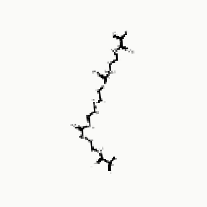 C=C(C)C(=O)OCCNC(=O)SCCOCCSC(=O)NCCOC(=O)C(=C)C